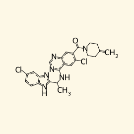 C=C1CCN(C(=O)c2cc3ncnc(NC(C)c4nc5cc(Cl)ccc5[nH]4)c3cc2Cl)CC1